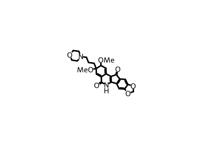 COC1C=c2c3c([nH]c(=O)c2=CC1(CCCN1CCOCC1)OC)-c1cc2c(cc1C3=O)OCO2